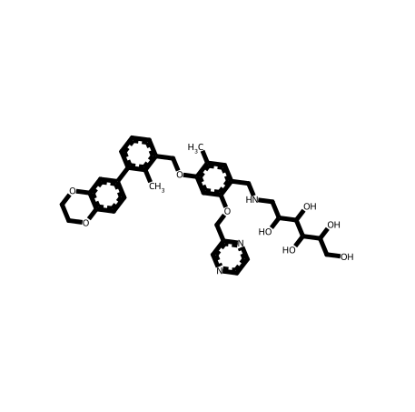 Cc1cc(CNCC(O)C(O)C(O)C(O)CO)c(OCc2cnccn2)cc1OCc1cccc(-c2ccc3c(c2)OCCO3)c1C